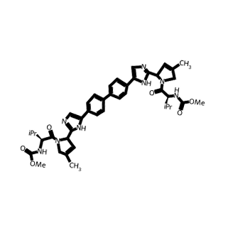 COC(=O)N[C@H](C(=O)N1CC(C)=CC1c1ncc(-c2ccc(-c3ccc(-c4cnc(C5C=C(C)CN5C(=O)[C@@H](NC(=O)OC)C(C)C)[nH]4)cc3)cc2)[nH]1)C(C)C